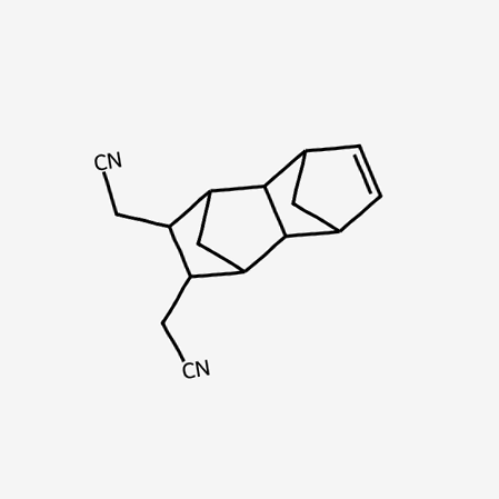 N#CCC1C(CC#N)C2CC1C1C3C=CC(C3)C21